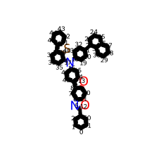 c1ccc(-c2nc3cc4c(cc3o2)oc2cc(N(c3ccc(-c5cccc6ccccc56)cc3)c3cccc5c3sc3ccccc35)ccc24)cc1